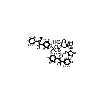 CC(C)(C)OC(=O)[C@H](C(=O)O)[C@@H](CC1=CCCC1)C(=O)O.O=C(C(=O)c1ccccc1)c1ccccc1.O=C(C(=O)c1ccccc1)c1ccccc1